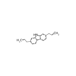 C=CCc1ccc2c(c1)[nH]c1cc(CC=C)ccc12